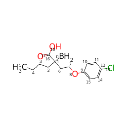 BC(CCCC)(CCOc1ccc(Cl)cc1)C(=O)O